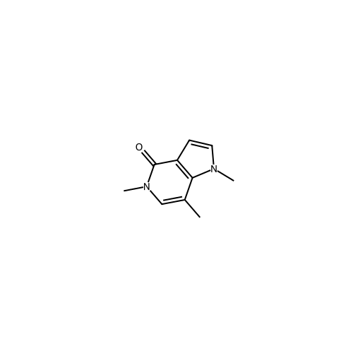 Cc1cn(C)c(=O)c2ccn(C)c12